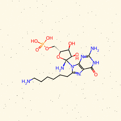 NCCCCCCc1nc2c(=O)[nH]c(N)nc2n1[C@]1(N)O[C@H](COP(=O)(O)O)[C@@H](O)[C@H]1O